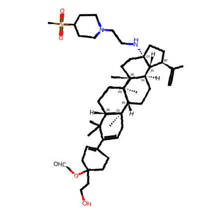 C=C(C)[C@@H]1CC[C@]2(NCCN3CCC(S(C)(=O)=O)CC3)CC[C@]3(C)[C@H](CC[C@@H]4[C@@]5(C)CC=C(C6=CCC(CCO)(OC=O)CC6)C(C)(C)[C@@H]5CC[C@]43C)[C@@H]12